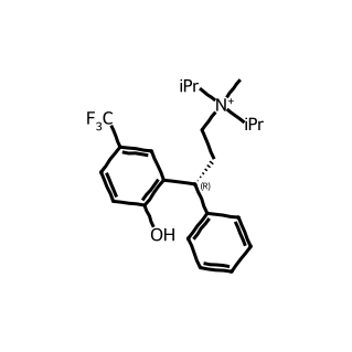 CC(C)[N+](C)(CC[C@H](c1ccccc1)c1cc(C(F)(F)F)ccc1O)C(C)C